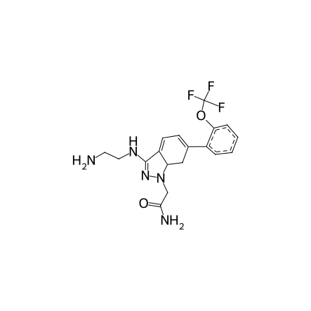 NCCNC1=NN(CC(N)=O)C2CC(c3ccccc3OC(F)(F)F)=CC=C12